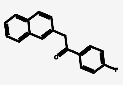 O=C(Cc1ccc2ccccc2c1)c1ccc(F)cc1